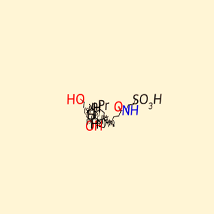 CCC[C@@]1(C)[C@@H](CCO)C[C@H](O)[C@@H]2[C@@H]1CC[C@]1(C)[C@@H]([C@H](C)CCC(=O)NCCS(=O)(=O)O)CC[C@@H]21